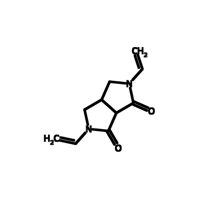 C=CN1CC2CN(C=C)C(=O)C2C1=O